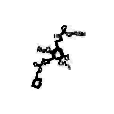 COc1c(CCNC(=O)OC(C)(C)C)cc(Cl)c(C)c1C1CN(C(=O)OCc2ccccc2)C1